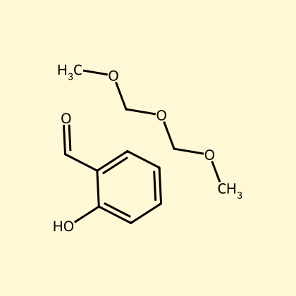 COCOCOC.O=Cc1ccccc1O